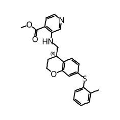 COC(=O)c1ccncc1NC[C@@H]1CCOc2cc(Sc3ccccc3C)ccc21